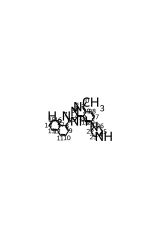 Cc1nnc(N[C@H](N)c2cccc3ccccc23)c2cc(N3CCNCC3)ccc12